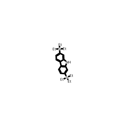 CC[Si](CC)(CC)c1ccc2c(c1)[nH]c1cc([Si](CC)(CC)CC)ccc12